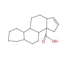 O=C(O)C12CC=CC1CCC1C3CCCCC3CCC12